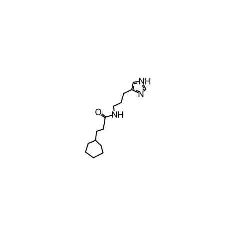 O=C(CCC1CCCCC1)NCCCc1c[nH]cn1